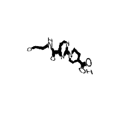 O=CCNC(=O)c1ccnc(N2CCC(C(=O)O)CC2)n1